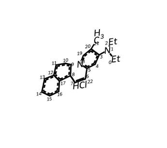 CCN(CC)c1cc(/C=C\c2cccc3ccccc23)ncc1C.Cl